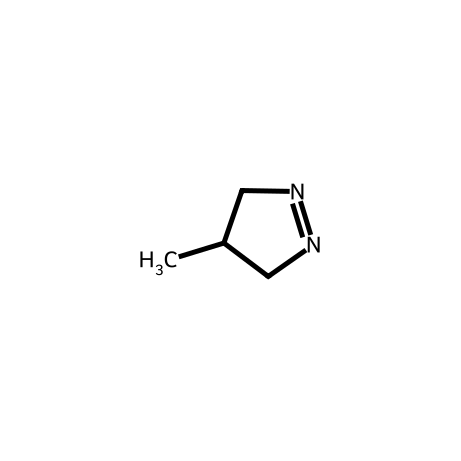 CC1CN=NC1